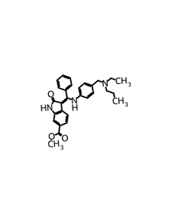 CCCN(CC)Cc1ccc(NC(=C2C(=O)Nc3cc(C(=O)OC)ccc32)c2ccccc2)cc1